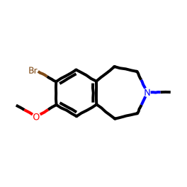 COc1cc2c(cc1Br)CCN(C)CC2